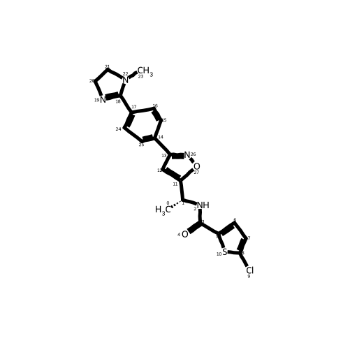 C[C@@H](NC(=O)c1ccc(Cl)s1)c1cc(-c2ccc(C3=NCCN3C)cc2)no1